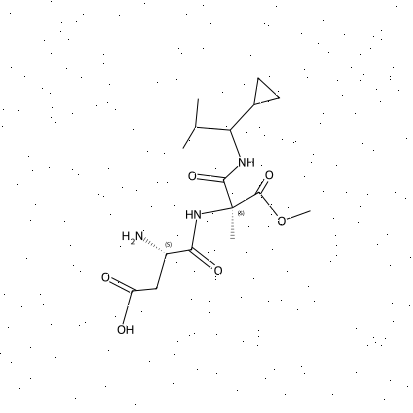 COC(=O)[C@@](C)(NC(=O)[C@@H](N)CC(=O)O)C(=O)NC(C(C)C)C1CC1